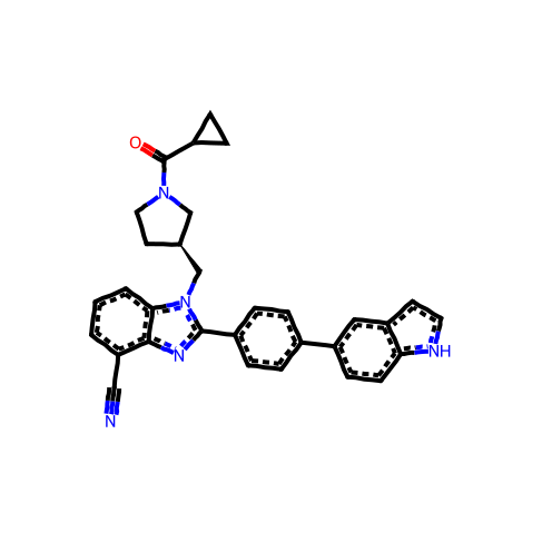 N#Cc1cccc2c1nc(-c1ccc(-c3ccc4[nH]ccc4c3)cc1)n2C[C@H]1CCN(C(=O)C2CC2)C1